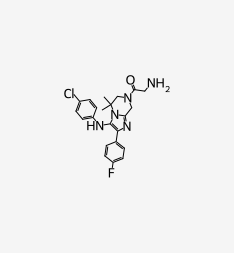 CC1(C)CN(C(=O)CN)Cc2nc(-c3ccc(F)cc3)c(Nc3ccc(Cl)cc3)n21